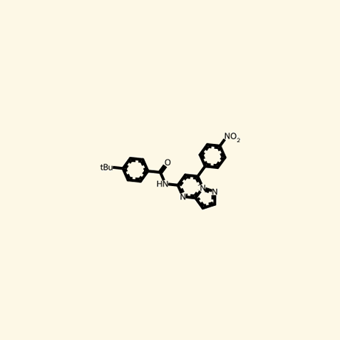 CC(C)(C)c1ccc(C(=O)Nc2cc(-c3ccc([N+](=O)[O-])cc3)n3nccc3n2)cc1